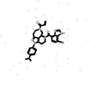 C=CC(=O)N1CCc2nn(-c3ccc(C(C)C)cc3)c3c2[C@H](C1)N(C(=O)c1ccc(Br)c2[nH]cnc12)CC3